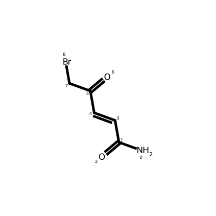 NC(=O)C=CC(=O)CBr